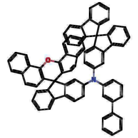 c1ccc(-c2cccc(N(c3ccc4c(c3)-c3ccccc3C43c4ccccc4-c4ccccc43)c3ccc4c(c3)C3(c5ccccc5-4)c4ccc5ccccc5c4Oc4c3ccc3ccccc43)c2)cc1